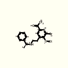 CCOc1c(CCN[C@@H](C)c2ccccc2)cc(C(=O)C(F)(F)F)nc1Br